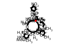 CC[C@H]1OC(=O)[C@H](C)[C@@H](O[C@H]2C[C@@](C)(OC)[C@@H](O)[C@H](C)O2)[C@H](C)[C@@H](O[C@@H]2O[C@H](C)C[C@H](N(C)CCc3cn(C(CF)CNS(=O)(=O)c4ccc([N+](=O)[O-])cc4)nn3)[C@H]2O)[C@](C)(O)C[C@@H](C)CN(C)[C@H](C)[C@@H](O)[C@]1(C)O